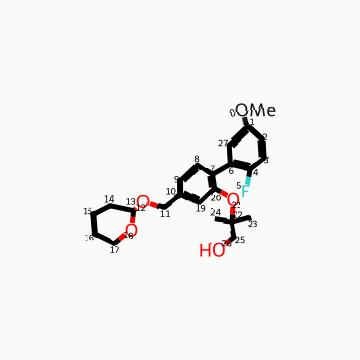 COc1ccc(F)c(-c2ccc(COC3CCCCO3)cc2OC(C)(C)CO)c1